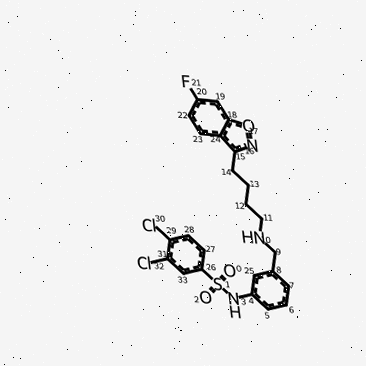 O=S(=O)(Nc1cccc(CNCCCCc2noc3cc(F)ccc23)c1)c1ccc(Cl)c(Cl)c1